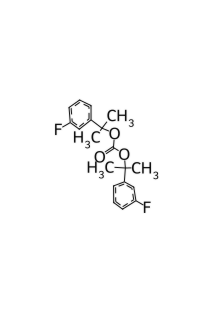 CC(C)(OC(=O)OC(C)(C)c1cccc(F)c1)c1cccc(F)c1